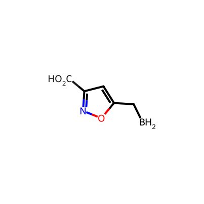 BCc1cc(C(=O)O)no1